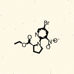 CCOC(=O)[C@@H]1CCCN1c1ncc(Br)cc1[N+](=O)[O-]